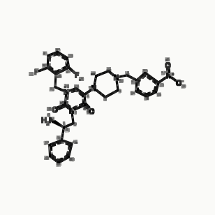 N[C@@H](Cn1c(=O)c(N2CCN(Cc3cccc([N+](=O)[O-])c3)CC2)cn(Cc2c(F)cccc2F)c1=O)c1ccccc1